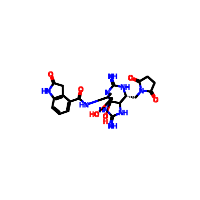 N=C1NC2[C@@H](CN3C(=O)CCC3=O)NC(=N)N3CC(NC(=O)c4cccc5c4CC(=O)N5)C(O)(O)C23N1